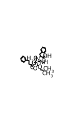 CC(C)COC(=O)N(OC(=O)CCc1ccccc1)C(=N)N(C)C(Cc1ccccc1)C(=O)O